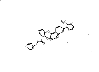 Cc1nccnc1-c1ccc2c(Oc3cccc(C(=O)NCc4ccncc4)c3C)ccnc2c1